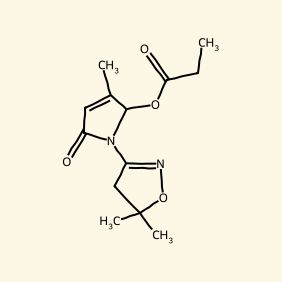 CCC(=O)OC1C(C)=CC(=O)N1C1=NOC(C)(C)C1